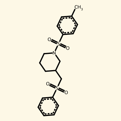 Cc1ccc(S(=O)(=O)N2CCCC(CS(=O)(=O)c3ccccc3)C2)cc1